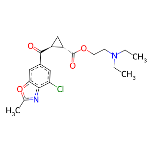 CCN(CC)CCOC(=O)[C@H]1C[C@@H]1C(=O)c1cc(Cl)c2nc(C)oc2c1